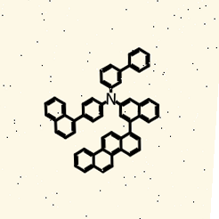 c1ccc(-c2cccc(N(c3ccc(-c4cccc5ccccc45)cc3)c3cc(-c4cccc5c4ccc4c6ccccc6ccc54)c4ccccc4c3)c2)cc1